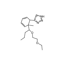 CCCC(OCCOCC)C1(C)C=CC=CC1c1c[nH]nn1